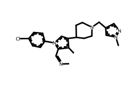 C/N=C\c1c(C)c(C2CCN(Cc3cnn(C)c3)CC2)cn1-c1ccc(Cl)cc1